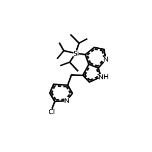 CC(C)[Si](c1ccnc2[nH]cc(Cc3ccc(Cl)nc3)c12)(C(C)C)C(C)C